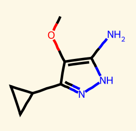 COc1c(C2CC2)n[nH]c1N